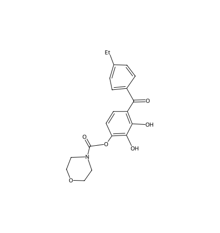 CCc1ccc(C(=O)c2ccc(OC(=O)N3CCOCC3)c(O)c2O)cc1